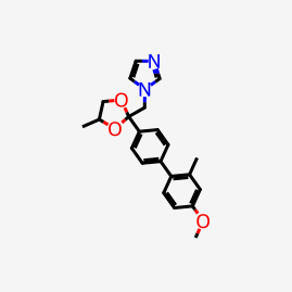 COc1ccc(-c2ccc(C3(Cn4ccnc4)OCC(C)O3)cc2)c(C)c1